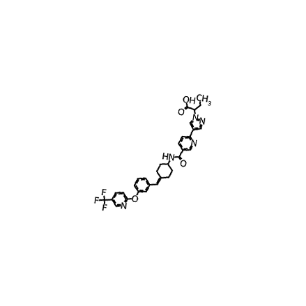 CCC(C(=O)O)n1cc(-c2ccc(C(=O)NC3CCC(=Cc4cccc(Oc5ccc(C(F)(F)F)cn5)c4)CC3)cn2)cn1